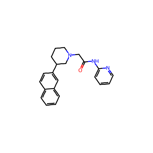 O=C(CN1CCCC(c2ccc3ccccc3c2)C1)Nc1ccccn1